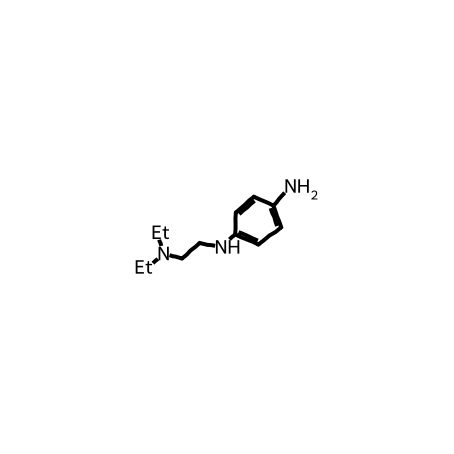 CCN(CC)CCNc1ccc(N)cc1